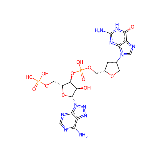 Nc1nc2c(ncn2C2CO[C@H](COP(=O)(O)O[C@H]3[C@@H](O)[C@H](n4nnc5c(N)ncnc54)O[C@@H]3COP(=O)(O)O)C2)c(=O)[nH]1